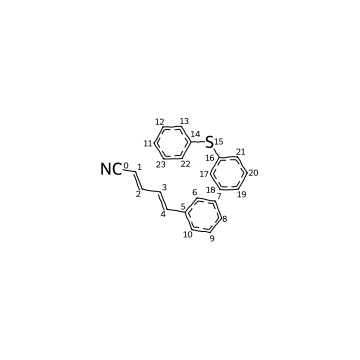 N#CC=CC=Cc1ccccc1.c1ccc(Sc2ccccc2)cc1